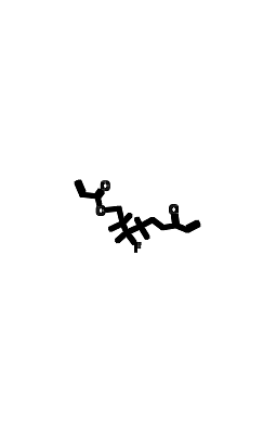 C=CC(=O)CCC(C)(C)C(C)(F)C(C)(C)COC(=O)C=C